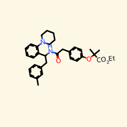 CCOC(=O)C(C)(C)Oc1ccc(CC(=O)NC(Cc2cccc(C)c2)c2ccccc2N2CCCCC2)cc1